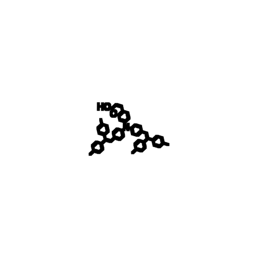 Cc1ccc(C(=Cc2ccc(N(c3ccc(C=C(c4ccc(C)cc4)c4ccc(C)cc4)cc3)c3ccc(/C=C\C(=O)O)cc3)cc2)c2ccc(C)cc2)cc1